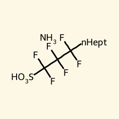 CCCCCCCC(F)(F)C(F)(F)C(F)(F)S(=O)(=O)O.N